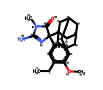 CCc1cc(C2(C34CC5CC(CC(C5)C3)C4)N=C(N)N(C)C2=O)ccc1OC